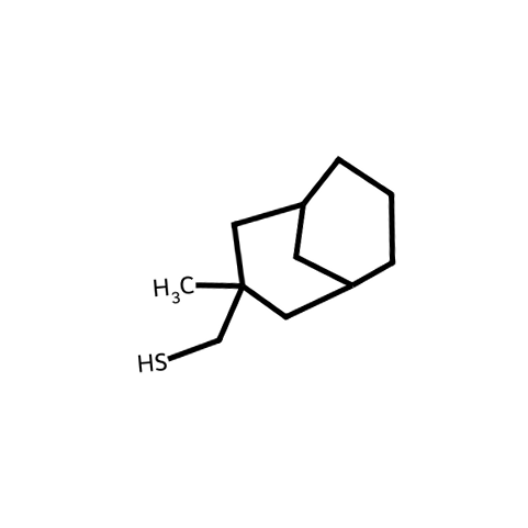 CC1(CS)CC2CCCC(C2)C1